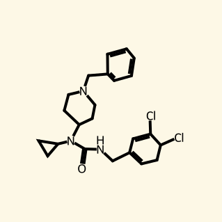 O=C(NCC1=CCC(Cl)C(Cl)=C1)N(C1CC1)C1CCN(Cc2ccccc2)CC1